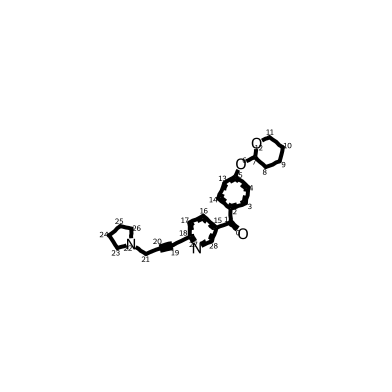 O=C(c1ccc(OC2CCCCO2)cc1)c1ccc(C#CCN2CCCC2)nc1